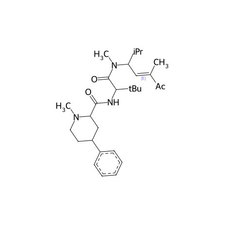 CC(=O)/C(C)=C/C(C(C)C)N(C)C(=O)C(NC(=O)C1CC(c2ccccc2)CCN1C)C(C)(C)C